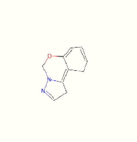 C1=CCC2=C3CC=NN3COC2=C1